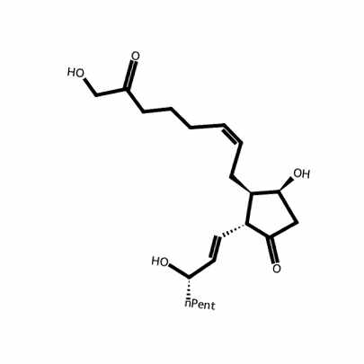 CCCCC[C@H](O)/C=C/[C@H]1C(=O)C[C@H](O)[C@@H]1C/C=C\CCCC(=O)CO